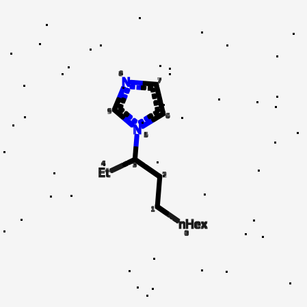 CCCCCCCCC(CC)n1ccnc1